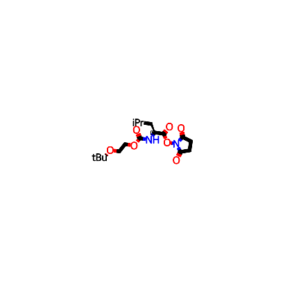 CC(C)C[C@H](NC(=O)OCCOC(C)(C)C)C(=O)ON1C(=O)CCC1=O